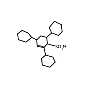 O=S(=O)(O)C1C(C2CCCCC2)=CC(C2CCCCC2)CC1C1CCCCC1